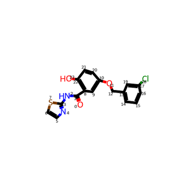 O=C(Nc1nccs1)c1cc(OCc2cccc(Cl)c2)ccc1O